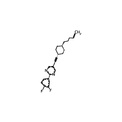 C=CCCC[C@H]1CC[C@H](C#Cc2cnc(-c3ccc(F)c(F)c3)nc2)CC1